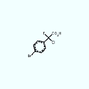 O=C(O)C(F)(Cl)c1ccc(Br)cc1